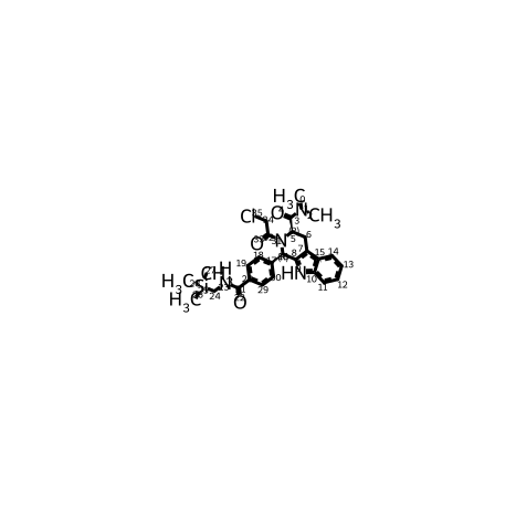 CN(C)C(=O)[C@H]1Cc2c([nH]c3ccccc23)[C@@H](c2ccc(C(=O)NC[Si](C)(C)C)cc2)N1C(=O)CCl